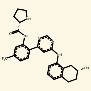 O=C(Nc1cc(C(F)(F)F)ccc1-c1cc(Nc2cccc3c2C[C@H](O)CC3)ncn1)[C@@H]1CCCN1